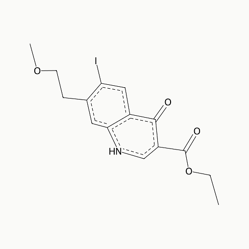 CCOC(=O)c1c[nH]c2cc(CCOC)c(I)cc2c1=O